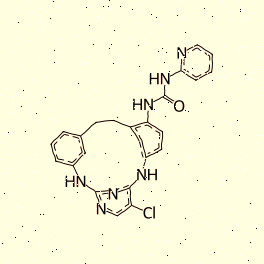 O=C(Nc1ccccn1)Nc1ccc2cc1CCc1cccc(c1)Nc1ncc(Cl)c(n1)N2